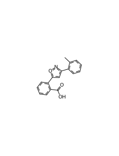 Cc1ccccc1-c1cc(-c2ccccc2C(=O)O)on1